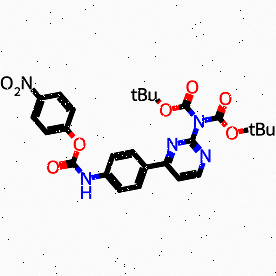 CC(C)(C)OC(=O)N(C(=O)OC(C)(C)C)c1nccc(-c2ccc(NC(=O)Oc3ccc([N+](=O)[O-])cc3)cc2)n1